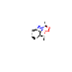 CCC1C=CC=CC1(O)NC(C)=O